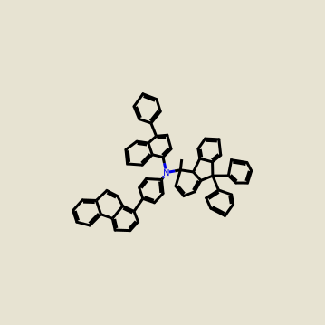 CC1(N(c2ccc(-c3cccc4c3ccc3ccccc34)cc2)c2ccc(-c3ccccc3)c3ccccc23)C=CC=C2C1c1ccccc1C2(c1ccccc1)c1ccccc1